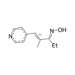 CCC(=NO)/C(C)=C/c1ccncc1